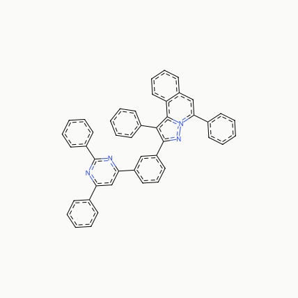 c1ccc(-c2cc(-c3cccc(-c4nn5c(-c6ccccc6)cc6ccccc6c5c4-c4ccccc4)c3)nc(-c3ccccc3)n2)cc1